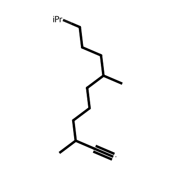 [C]#CC(C)CCCC(C)CCCC(C)C